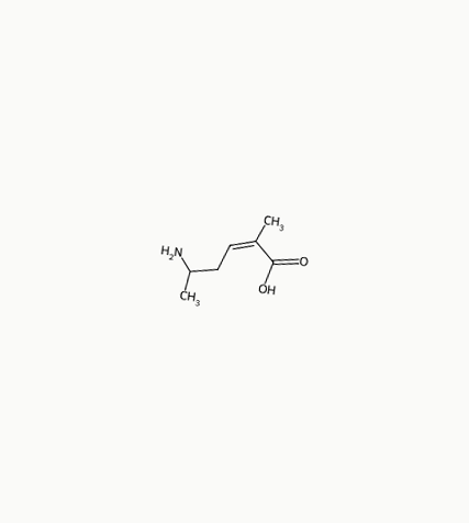 CC(=CCC(C)N)C(=O)O